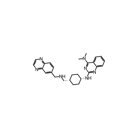 CN(C)c1nc(N[C@H]2CC[C@@H](CNCc3ccc4nccnc4c3)CC2)nc2ccccc12